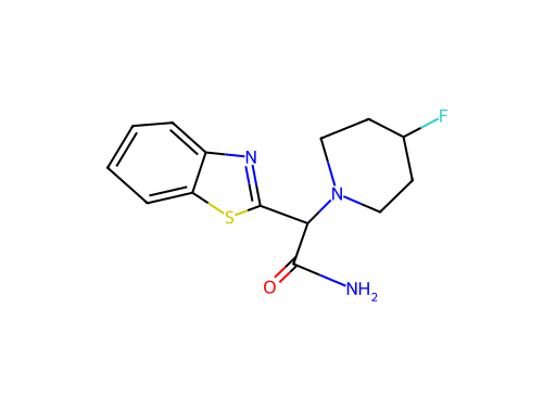 NC(=O)C(c1nc2ccccc2s1)N1CCC(F)CC1